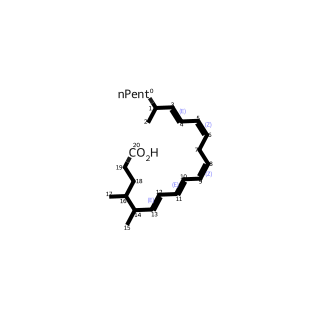 CCCCCC(C)/C=C/C=C\C\C=C/C=C/C=C/C(C)C(C)CCC(=O)O